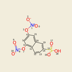 O=[N+]([O-])Oc1cc(O[N+](=O)[O-])c2ccc(S(=O)(=O)O)cc2c1